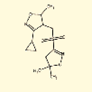 CC1ON=C(C2CC2)C1CS(=O)(=O)C1=NOC(C)(C)C1